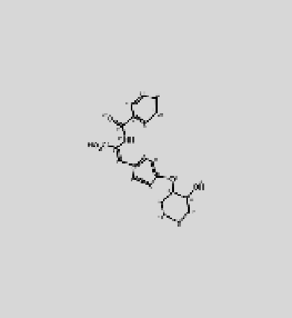 O=C(O)C(=Cc1ccc(OC2CCCCC2O)cc1)NC(=O)c1ccccc1